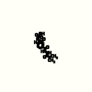 CC(C)C(=O)NNC(=O)[C@H]1CC[C@H]2CN1C(=O)N2OS(=O)(=O)O